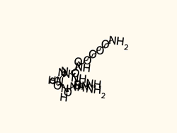 N=C(N)NCCC[C@@H]1NC(=O)C(CCCNC(=O)CCOCCOCCOCCOCCN)n2cc(nn2)[C@H](Cc2ccccc2)NC(=O)CNC(=O)CNC1=O